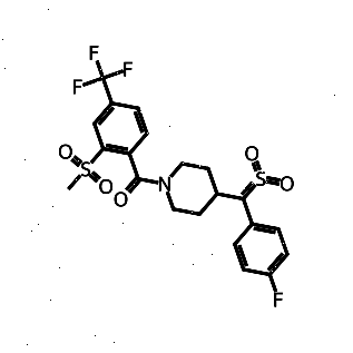 CS(=O)(=O)c1cc(C(F)(F)F)ccc1C(=O)N1CCC(C(c2ccc(F)cc2)=S(=O)=O)CC1